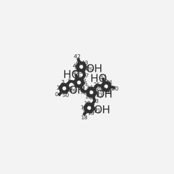 Cc1ccc(Cc2cc(Cc3cc(Cc4ccc(C)cc4O)c(O)c(Cc4ccc(C)cc4O)c3)cc(Cc3ccc(C)cc3O)c2O)c(O)c1